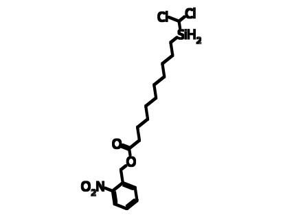 O=C(CCCCCCCCCC[SiH2]C(Cl)Cl)OCc1ccccc1[N+](=O)[O-]